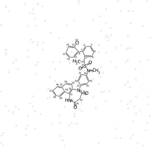 CC(c1ccccc1-c1ccccc1Cl)S(=O)(=O)N(C)c1ccc(N2C(=O)CC(=O)Nc3c2ccc2ccccc32)cc1